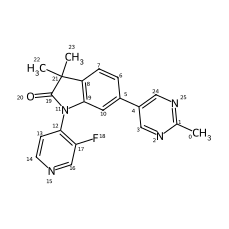 Cc1ncc(-c2ccc3c(c2)N(c2ccncc2F)C(=O)C3(C)C)cn1